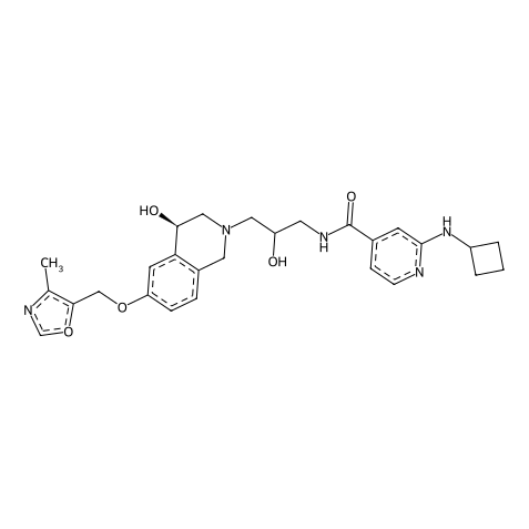 Cc1ncoc1COc1ccc2c(c1)[C@@H](O)CN(CC(O)CNC(=O)c1ccnc(NC3CCC3)c1)C2